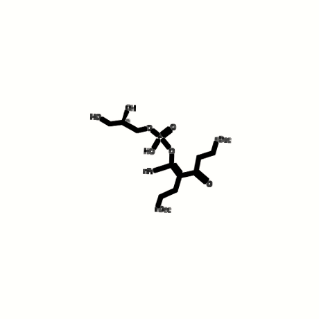 CCCCCCCCCCCCC(=O)C(CCCCCCCCCCCC)=C(CCC)OP(=O)(O)OC[C@H](O)CO